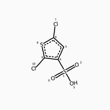 O=S(=O)(O)c1cc(Cl)sc1Cl